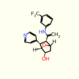 C=C(Nc1cccc(C(F)(F)F)c1)[C@@H]1[C@H](c2ccncc2)[C@@H]2O[C@H]1C[C@H]2O